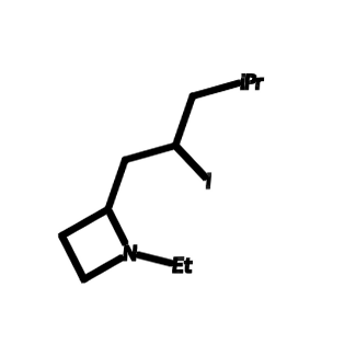 CCN1CCC1CC(I)CC(C)C